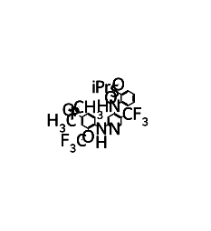 CC(C)S(=O)(=O)c1ccccc1Nc1cc(Nc2ccc(P(C)(C)=O)cc2OC(F)(F)F)ncc1C(F)(F)F